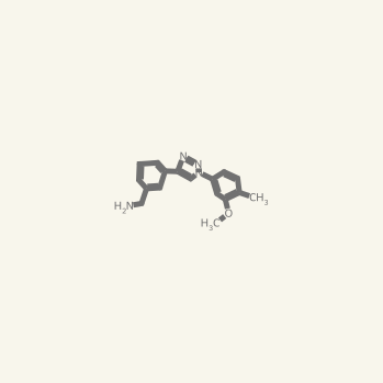 COc1cc(-n2cc(-c3cccc(CN)c3)nn2)ccc1C